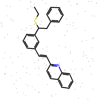 CCSC(Cc1ccccc1)c1cccc(/C=C/c2ccc3ccccc3n2)c1